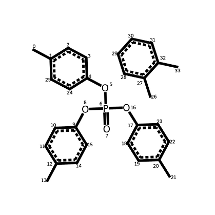 Cc1ccc(OP(=O)(Oc2ccc(C)cc2)Oc2ccc(C)cc2)cc1.Cc1ccccc1C